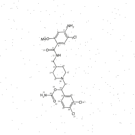 COc1cc(N)c(Cl)cc1C(=O)NCC1CCN(CC(OC(N)=O)c2ccc(Cl)c(Cl)c2)CC1